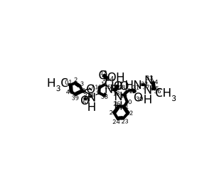 Cc1ccc(S(=O)(=O)N[C@@H]2C[C@@H](C(=O)O)N(C(=O)NC(Cc3ccccc3)C(O)C(=O)Nc3ncc(C)[nH]3)C2)cc1